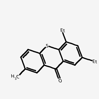 CCc1cc(CC)c2sc3ccc(C)cc3c(=O)c2c1